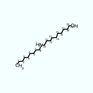 CCCCCCCCCNCCCCCCCCCCO